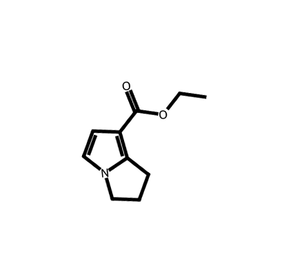 CCOC(=O)c1ccn2c1CCC2